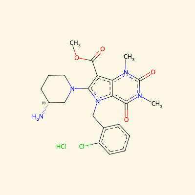 COC(=O)c1c(N2CCC[C@@H](N)C2)n(Cc2ccccc2Cl)c2c(=O)n(C)c(=O)n(C)c12.Cl